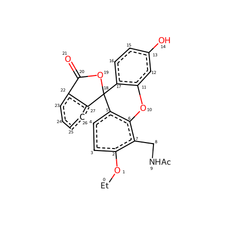 CCOc1ccc2c(c1CNC(C)=O)Oc1cc(O)ccc1C21OC(=O)c2ccccc21